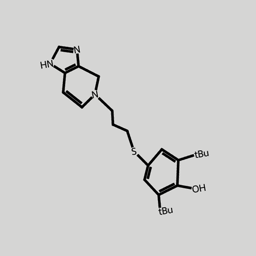 CC(C)(C)c1cc(SCCCN2C=Cc3[nH]cnc3C2)cc(C(C)(C)C)c1O